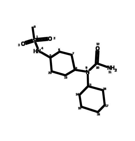 CS(=O)(=O)NC1CCC(N(C(N)=O)C2CCCCC2)CC1